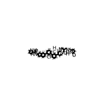 Cc1c(-c2ccn3c(=O)c(CNC[C@H]4CCC(=O)N4)cnc3c2)cccc1-c1cccc(-c2ccc3c(c2)C[C@@H](NC(=O)[C@H]2CCCN2)C3)c1Cl